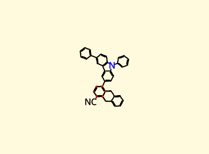 N#Cc1ccc(-c2ccc3c(c2)c2cc(-c4ccccc4)ccc2n3-c2ccccc2)c2c1C1c3ccccc3C2c2ccccc21